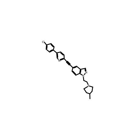 CC1CCN(CCn2ncc3cc(C#Cc4ccc(-c5ccc(Cl)cc5)cn4)ccc32)CC1